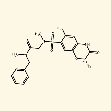 CC[C@@H]1Oc2cc(S(=O)(=O)N(C)CC(=O)N(C)Cc3ccccc3)c(C)cc2NC1=O